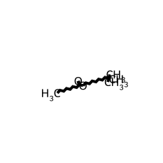 CCCCCCCC(=O)OCCCCCCCC(C)(C)C